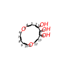 OC1=CC=COCC=CC=COC=CC(O)=C1O